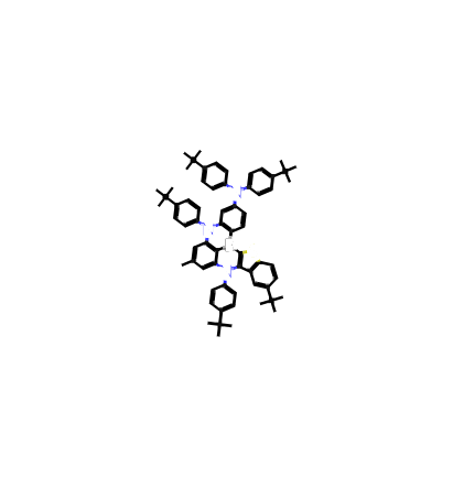 Cc1cc2c3c(c1)N(c1ccc(C(C)(C)C)cc1)c1c(sc4ccc(C(C)(C)C)cc14)B3c1ccc(N(c3ccc(C(C)(C)C)cc3)c3ccc(C(C)(C)C)cc3)cc1N2c1ccc(C(C)(C)C)cc1